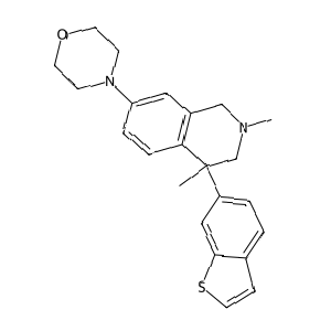 CN1Cc2cc(N3CCOCC3)ccc2C(C)(c2ccc3ccsc3c2)C1